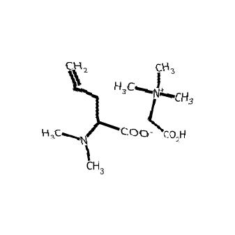 C=CCC(C(=O)[O-])N(C)C.C[N+](C)(C)CC(=O)O